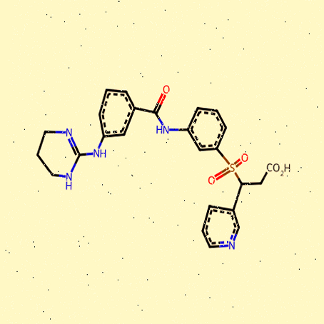 O=C(O)CC(c1cccnc1)S(=O)(=O)c1cccc(NC(=O)c2cccc(NC3=NCCCN3)c2)c1